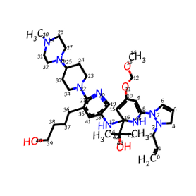 C=CCN1CC=CN1C1=CC(OCOC)=CC(Nc2cnc(N3CCC(N4CCN(C)CC4)CC3)c(CCCCO)c2)(C(C)(C)O)N1